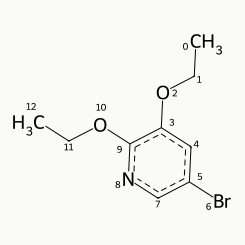 CCOc1cc(Br)cnc1OCC